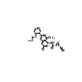 COCCc1ccncc1-c1cc2cc(=O)[nH]c(NC(=O)[C@@H]3C[C@H]3C#N)c2c(N)n1